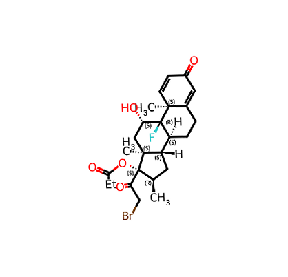 CCC(=O)O[C@@]1(C(=O)CBr)[C@H](C)C[C@H]2[C@@H]3CCC4=CC(=O)C=C[C@]4(C)[C@@]3(F)[C@@H](O)C[C@@]21C